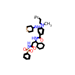 CC(C)CCN(C)c1ccc(C(=O)NC(CC(=O)NS(=O)(=O)c2ccccc2)C2CCCCC2)cc1NC1CCSCC1